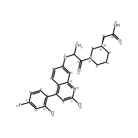 CC(Oc1ccc2c(-c3ccc(F)cc3Cl)cc(Cl)nc2c1)C(=O)N1CCC[C@H](CC(=O)O)C1